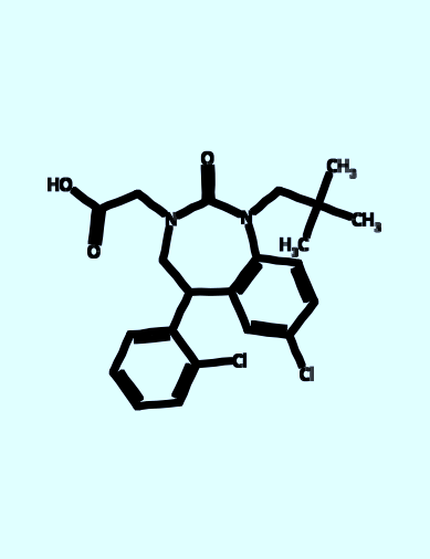 CC(C)(C)CN1C(=O)N(CC(=O)O)CC(c2ccccc2Cl)c2cc(Cl)ccc21